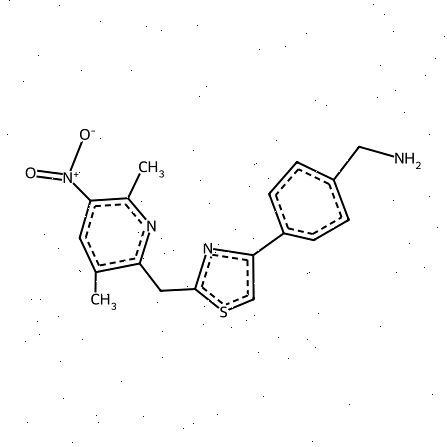 Cc1cc([N+](=O)[O-])c(C)nc1Cc1nc(-c2ccc(CN)cc2)cs1